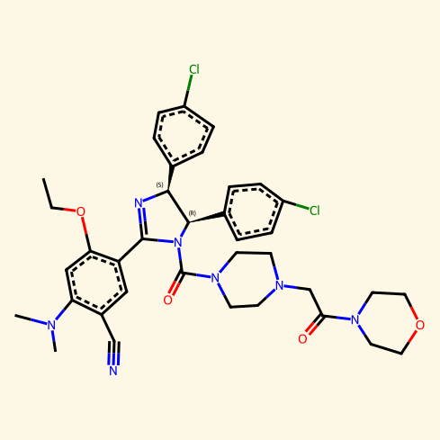 CCOc1cc(N(C)C)c(C#N)cc1C1=N[C@@H](c2ccc(Cl)cc2)[C@@H](c2ccc(Cl)cc2)N1C(=O)N1CCN(CC(=O)N2CCOCC2)CC1